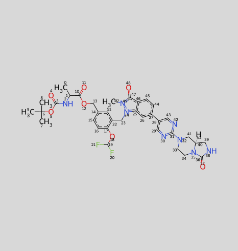 CC(NC(=O)OC(C)(C)C)C(=O)OCc1ccc(OC(F)F)c(Cn2c3cc(-c4cnc(N5CCN6C(=O)NC[C@@H]6C5)nc4)ccc3c(=O)n2C)c1